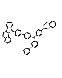 c1ccc(-c2cccc(N(c3ccc(-c4ccc(-n5c6ccccc6c6ccc7ccccc7c65)cc4)cc3)c3ccc(-c4ccc5ccccc5c4)cc3)c2)cc1